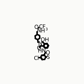 O=C(Nc1cccc2c1C(=O)N(CC1CCC(CNC(=O)C(F)(F)F)CC1)C2O)C1=CC(Cl)=CCC1=S